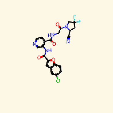 N#CC1CC(F)(F)CN1C(=O)CNC(=O)c1ccncc1NC(=O)c1cc2cc(Cl)ccc2o1